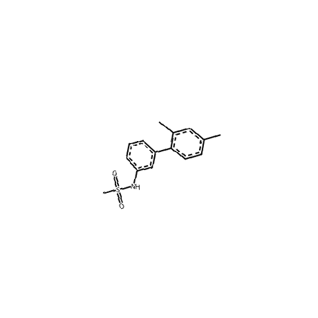 Cc1ccc(-c2cccc(NS(C)(=O)=O)c2)c(C)c1